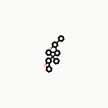 Clc1ccc(-c2ccccc2)cc1-c1cccc2c1-c1ccccc1C2(c1ccccc1)c1ccc2oc3ccccc3c2c1